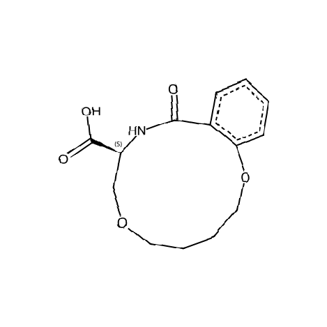 O=C1N[C@H](C(=O)O)COCCCCOc2ccccc21